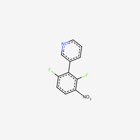 O=[N+]([O-])c1ccc(F)c(-c2cccnc2)c1F